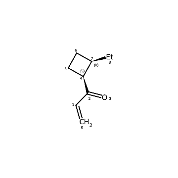 C=CC(=O)[C@H]1CC[C@H]1CC